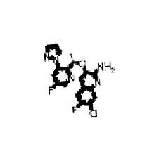 C[C@H](Oc1cc2cc(F)c(Cl)cc2nc1N)c1ncc(F)cc1-n1cccn1